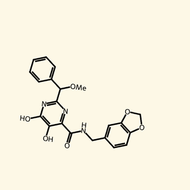 COC(c1ccccc1)c1nc(O)c(O)c(C(=O)NCc2ccc3c(c2)OCO3)n1